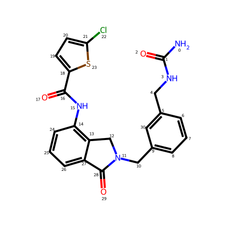 NC(=O)NCc1cccc(CN2Cc3c(NC(=O)c4ccc(Cl)s4)cccc3C2=O)c1